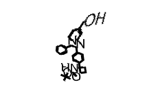 CC(C)(C)OC(=O)NC1(c2ccc(C3N=C4C=C(CO)C=CN4C3c3ccccc3)cc2)CCC1